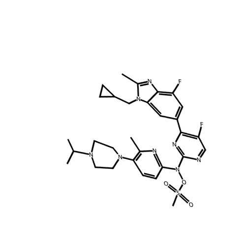 Cc1nc(N(OS(C)(=O)=O)c2ncc(F)c(-c3cc(F)c4nc(C)n(CC5CC5)c4c3)n2)ccc1N1CCN(C(C)C)CC1